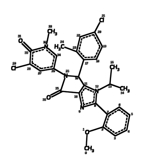 COc1ccccc1-c1nc2c(n1C(C)C)C(c1ccc(Cl)cc1C)N(c1cc(Cl)c(=O)n(C)c1)C2=O